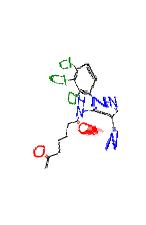 CC(=O)CCCCC(=O)Nc1c(C#N)cnn1-c1ccc(Cl)c(Cl)c1Cl